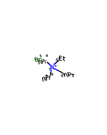 CCC[N+](CC)(CCC)CCC.[Br-]